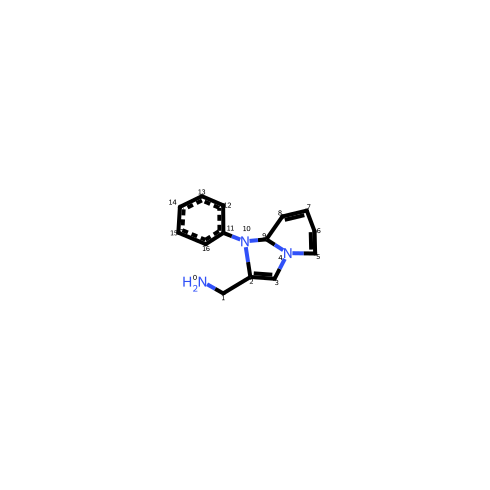 NCC1=CN2C=CC=CC2N1c1ccccc1